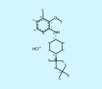 COc1c(N[C@H]2CC[C@H](C(C)(C)CC(C)(C)C)CC2)ccnc1C.Cl